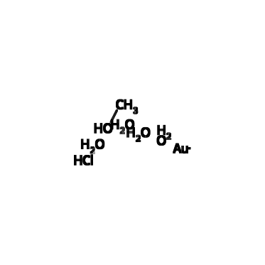 CO.Cl.O.O.O.O.[Au]